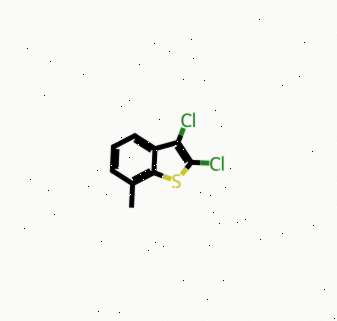 Cc1cccc2c(Cl)c(Cl)sc12